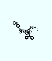 NCCC[C@@H]1N[C@H](CNC(=O)/C=C/c2ccc(Br)cc2)CCN(CC(c2ccccc2)c2ccccc2)C1=O